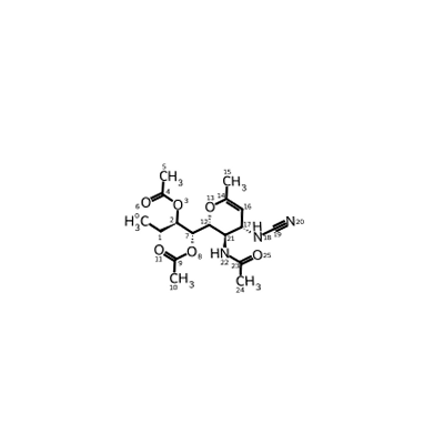 CC[C@@H](OC(C)=O)[C@@H](OC(C)=O)[C@@H]1OC(C)=C[C@H](NC#N)[C@H]1NC(C)=O